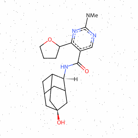 CNc1ncc(C(=O)N[C@H]2C3CC4CC2C[C@@](O)(C4)C3)c(C2CCCO2)n1